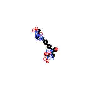 COC(=O)N[C@H](C(=O)N1CCC[C@H]1c1ncc(-c2ccc(-c3ccc(-c4[nH]c([C@H]5CCCN5C(=O)[C@@H](NC(=O)OC)[C@@H](C)OC)c5c4COC5)cc3)cc2)[nH]1)C(C)C